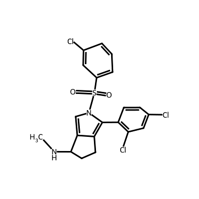 CNC1CCc2c1cn(S(=O)(=O)c1cccc(Cl)c1)c2-c1ccc(Cl)cc1Cl